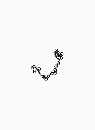 O=C(/C=C/c1cccnc1)NCCCCC1CCN(C(=O)c2ccc(C3CCN(C(=O)COCCOCCOCCSc4cccc5c4C(=O)N(C4CCC(=O)NC4=O)C5=O)CC3)cc2)CC1